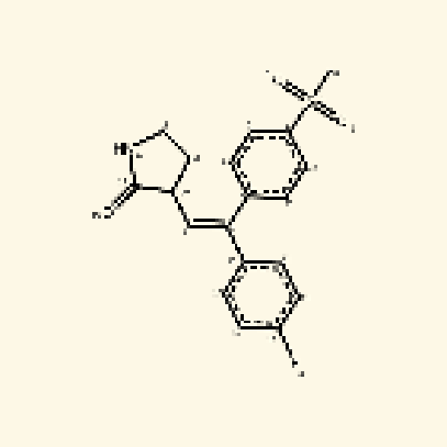 CS(=O)(=O)c1ccc(/C(=C\C2CCNC2=O)c2ccc(F)cc2)cc1